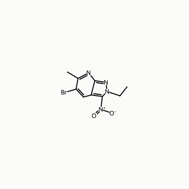 CCn1nc2nc(C)c(Br)cc2c1[N+](=O)[O-]